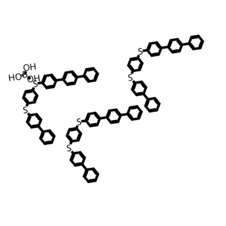 OB(O)O.c1ccc(-c2ccc(Sc3ccc(Sc4ccc(-c5ccc(-c6ccccc6)cc5)cc4)cc3)cc2)cc1.c1ccc(-c2ccc(Sc3ccc(Sc4ccc(-c5ccc(-c6ccccc6)cc5)cc4)cc3)cc2)cc1.c1ccc(-c2ccc(Sc3ccc(Sc4ccc(-c5ccc(-c6ccccc6)cc5)cc4)cc3)cc2)cc1